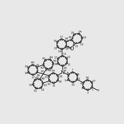 Cc1ccc(-c2ccc(N(c3ccc(-c4cccc5c4oc4ccccc45)cc3)c3ccc4c(c3)C3(c5ccccc5-c5ccccc53)c3ccccc3-4)cc2)cc1